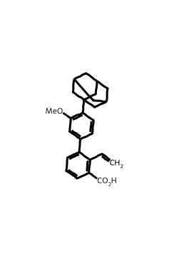 C=Cc1c(C(=O)O)cccc1-c1ccc(C23CC4CC(CC(C4)C2)C3)c(OC)c1